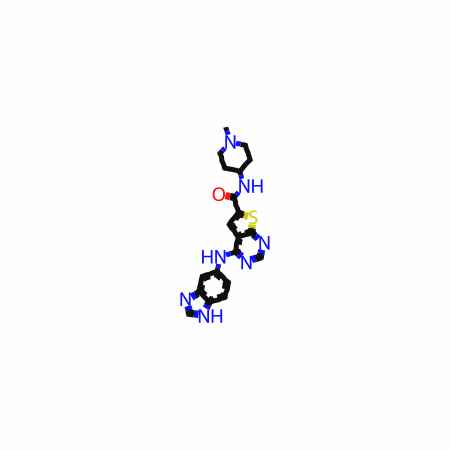 CN1CCC(NC(=O)c2cc3c(Nc4ccc5[nH]cnc5c4)ncnc3s2)CC1